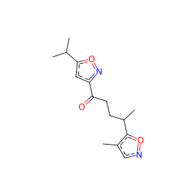 Cc1cnoc1C(C)CCC(=O)c1cc(C(C)C)on1